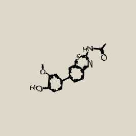 COc1cc(-c2ccc3nc(NC(C)=O)sc3c2)ccc1O